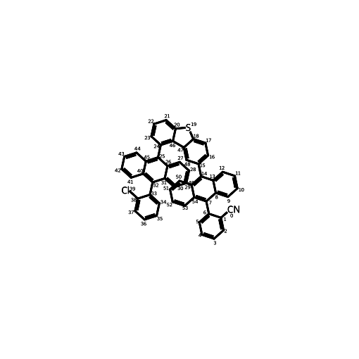 N#Cc1ccccc1-c1c2ccccc2c(-c2ccc3sc4cccc(-c5c6ccccc6c(-c6ccccc6Cl)c6ccccc56)c4c3c2)c2ccccc12